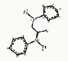 CCN(CC(C)N(CC)c1ccccc1)c1ccccc1